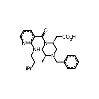 CC(C)CCNc1ncccc1C(=O)N1C[C@H](C)N(Cc2ccccc2)C[C@@H]1CC(=O)O